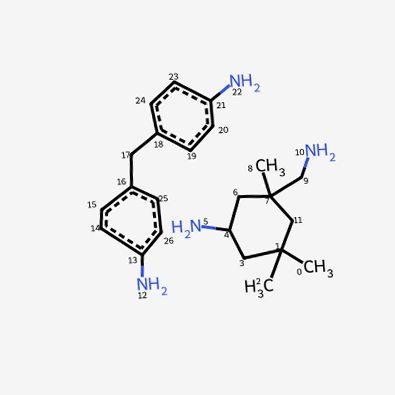 CC1(C)CC(N)CC(C)(CN)C1.Nc1ccc(Cc2ccc(N)cc2)cc1